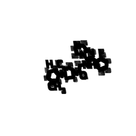 Cc1cccc(N2CCN(C(=O)CNc3c(-c4ccccc4F)nc4cnccn34)CC2C)c1